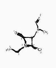 CCN1C(=O)C(N(C)C=O)C1=O